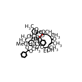 CC[C@H]1OC(=O)[C@H](C)[C@@H](O[C@H]2C[C@@](C)(OC)[C@@H](OC(=O)c3ccccc3)[C@H](C)O2)[C@H](C)[C@@H](O[C@@H]2O[C@H](C)C[C@H](N(C)C)[C@H]2OC(=O)c2ccccc2)[C@](C)(OC)C[C@@H](C)C(=O)/C(C)=C/[C@]1(C)O